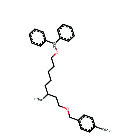 CCCCCCCCCC(CCCCCO[SiH](c1ccccc1)c1ccccc1)CCOCc1ccc(OC)cc1